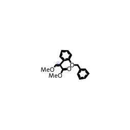 CO/C=C(\C(=O)OC)c1ccccc1OCc1ccccc1